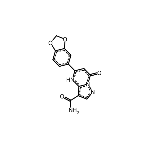 NC(=O)c1cnn2c(=O)cc(-c3ccc4c(c3)OCO4)[nH]c12